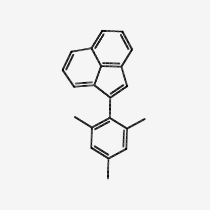 Cc1cc(C)c(C2=Cc3cccc4cccc2c34)c(C)c1